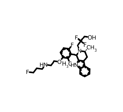 Cc1c(OCCNCCCF)ccc(F)c1C1c2[nH]c3ccccc3c2C[C@@H](C)N1CC(F)(F)CO